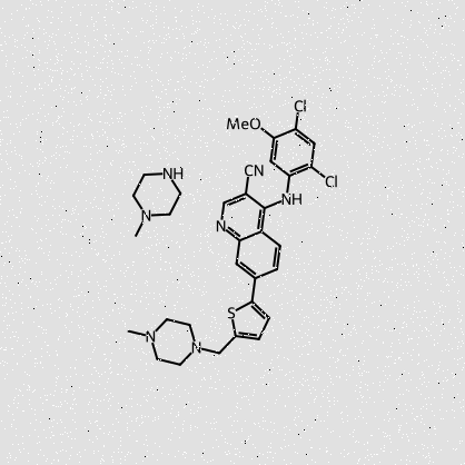 CN1CCNCC1.COc1cc(Nc2c(C#N)cnc3cc(-c4ccc(CN5CCN(C)CC5)s4)ccc23)c(Cl)cc1Cl